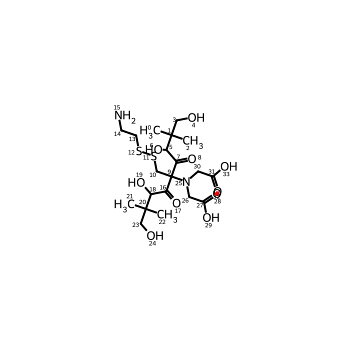 CC(C)(CO)C(O)C(=O)C(CSSCCN)(C(=O)C(O)C(C)(C)CO)N(CC(=O)O)CC(=O)O